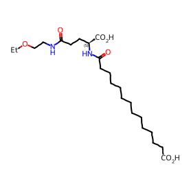 CCOCCNC(=O)CC[C@H](NC(=O)CCCCCCCCCCCCC(=O)O)C(=O)O